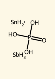 O=P(O)(O)O.[SbH3].[SnH2]